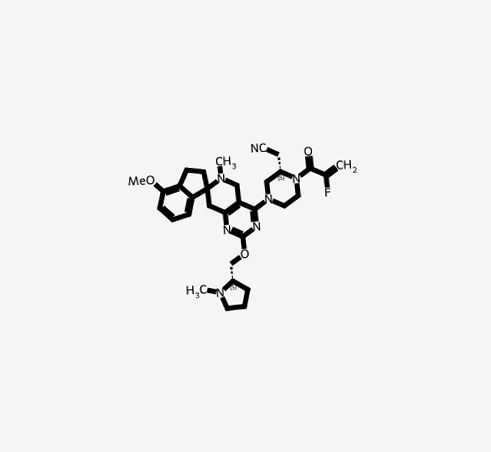 C=C(F)C(=O)N1CCN(c2nc(OC[C@@H]3CCCN3C)nc3c2CN(C)C2(CCc4c(OC)cccc42)C3)C[C@@H]1CC#N